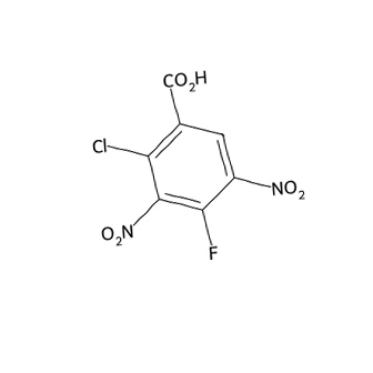 O=C(O)c1cc([N+](=O)[O-])c(F)c([N+](=O)[O-])c1Cl